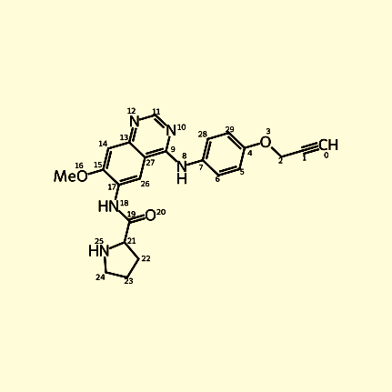 C#CCOc1ccc(Nc2ncnc3cc(OC)c(NC(=O)C4CCCN4)cc23)cc1